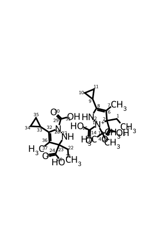 CCC1(C(=O)O)C(C)=C(C2CC2)N[N+]1(C(=O)O)C(C)(C)C.CCC1(C(=O)O)NN(C(=O)O)C(C2CC2)=C1C